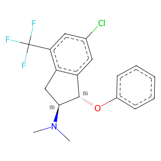 CN(C)[C@H]1Cc2c(cc(Cl)cc2C(F)(F)F)[C@@H]1Oc1ccccc1